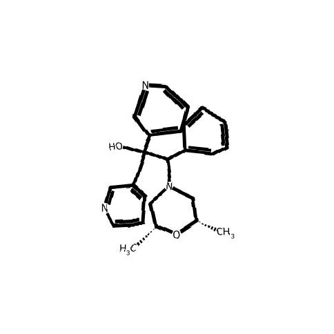 C[C@@H]1CN(C(c2ccccc2)C(O)(c2cccnc2)c2cccnc2)C[C@H](C)O1